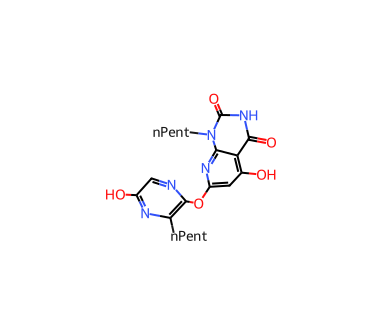 CCCCCc1nc(O)cnc1Oc1cc(O)c2c(=O)[nH]c(=O)n(CCCCC)c2n1